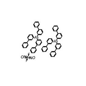 O=[N][Mo]([F])([F])[N]=O.c1ccc(-c2cccc([As](c3cccc(-c4ccccc4)c3)c3cccc(-c4ccccc4)c3)c2)cc1.c1ccc(-c2cccc([As](c3cccc(-c4ccccc4)c3)c3cccc(-c4ccccc4)c3)c2)cc1